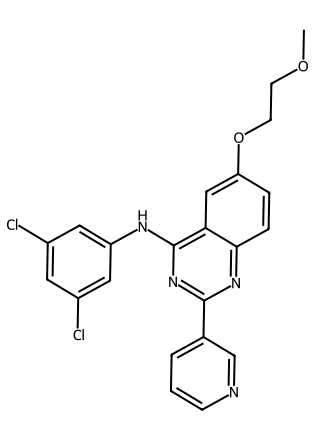 COCCOc1ccc2nc(-c3cccnc3)nc(Nc3cc(Cl)cc(Cl)c3)c2c1